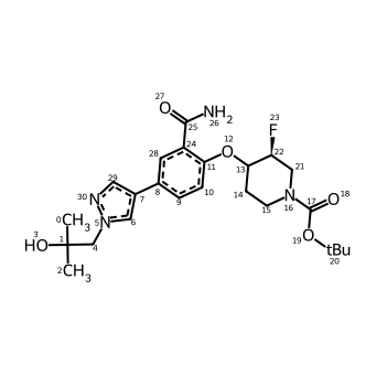 CC(C)(O)Cn1cc(-c2ccc(OC3CCN(C(=O)OC(C)(C)C)C[C@@H]3F)c(C(N)=O)c2)cn1